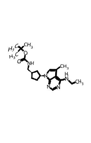 CCNc1ncnc2c1c(C)cn2[C@H]1CC[C@@H](CNC(=O)OC(C)(C)C)C1